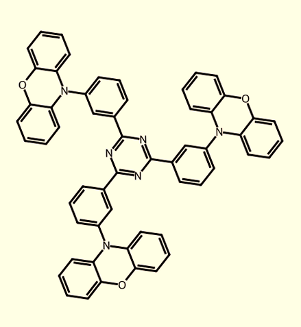 c1cc(-c2nc(-c3cccc(N4c5ccccc5Oc5ccccc54)c3)nc(-c3cccc(N4c5ccccc5Oc5ccccc54)c3)n2)cc(N2c3ccccc3Oc3ccccc32)c1